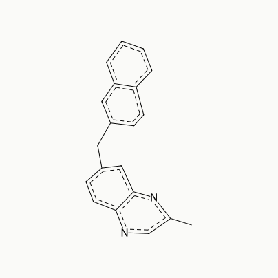 Cc1cnc2ccc(Cc3ccc4ccccc4c3)cc2n1